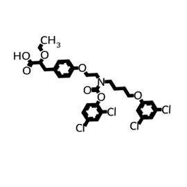 CCOC(Cc1ccc(OCCN(CCCCOc2cc(Cl)cc(Cl)c2)C(=O)Oc2ccc(Cl)cc2Cl)cc1)C(=O)O